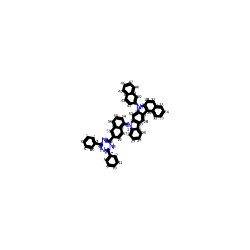 c1ccc(-c2nc(-c3ccccc3)nc(-c3ccc4c(-n5c6ccccc6c6cc7c8c9ccccc9ccc8n(-c8ccc9ccccc9c8)c7cc65)cccc4c3)n2)cc1